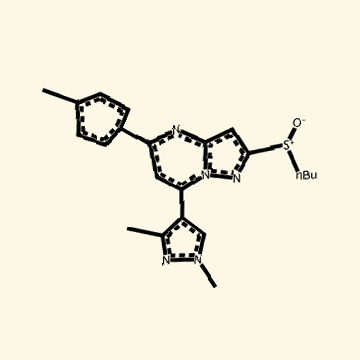 CCCC[S+]([O-])c1cc2nc(-c3ccc(C)cc3)cc(-c3cn(C)nc3C)n2n1